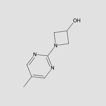 Cc1cnc(N2CC(O)C2)nc1